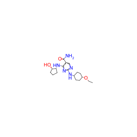 CCOC1CCC(Nc2ncc(C(N)=O)c(N[C@@H]3CCC[C@H]3O)n2)CC1